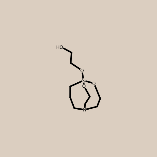 OCCO[Si]12CCCN(CCO1)CCO2